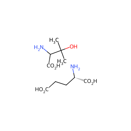 CC(C)(O)C(N)C(=O)O.N[C@@H](CCC(=O)O)C(=O)O